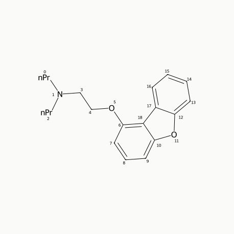 CCCN(CCC)CCOc1cccc2oc3ccccc3c12